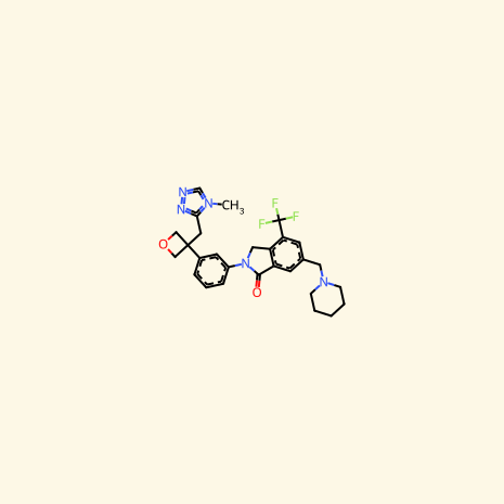 Cn1cnnc1CC1(c2cccc(N3Cc4c(cc(CN5CCCCC5)cc4C(F)(F)F)C3=O)c2)COC1